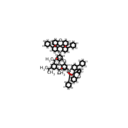 CC(C)c1cc(C(C)C)c(B2c3ccc(N4c5ccc(-c6ccccc6)cc5C5(c6ccccc6Oc6ccccc65)c5cc(-c6ccccc6)ccc54)cc3Oc3cc(N4c5ccc(-c6ccccc6)cc5C5(c6ccccc6Oc6ccccc65)c5cc(-c6ccccc6)ccc54)ccc32)c(C(C)C)c1